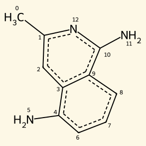 Cc1cc2c(N)cccc2c(N)n1